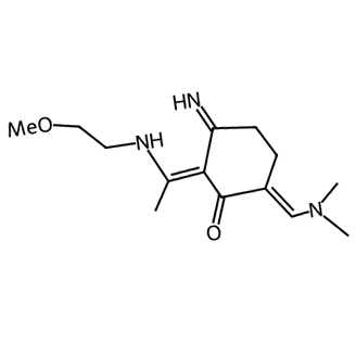 COCCN/C(C)=C1\C(=N)CC/C(=C\N(C)C)C1=O